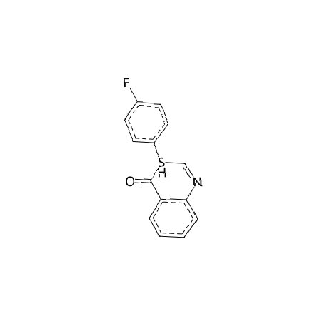 O=C1c2ccccc2N=C[SH]1c1ccc(F)cc1